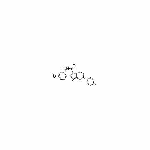 COc1ccc(-c2sc3cc(-c4ccc(C)cc4)ccc3c2C(N)=O)cc1